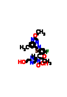 CCOc1cnc2c(-c3nc4cc(F)c(OC(C)C(C)N(C(=O)O)c5cnc(CCO)nc5)cc4s3)cc(C)cc2n1